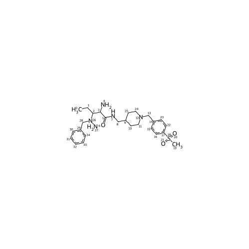 CCC(C(N)C(=O)NCC1CCN(Cc2ccc(S(C)(=O)=O)cc2)CC1)N(N)Cc1ccccc1